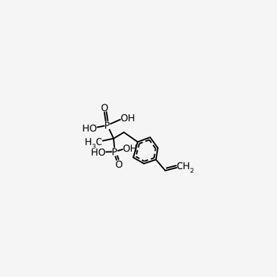 C=Cc1ccc(CC(C)(P(=O)(O)O)P(=O)(O)O)cc1